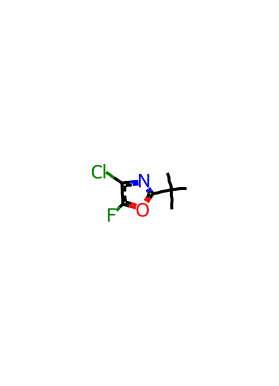 CC(C)(C)c1nc(Cl)c(F)o1